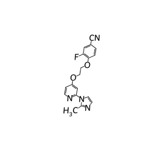 Cc1nccn1-c1cc(OCCOc2ccc(C#N)cc2F)ccn1